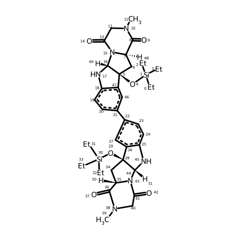 CC[Si](CC)(CC)O[C@]12C[C@@H]3C(=O)N(C)CC(=O)N3[C@H]1Nc1ccc(-c3ccc4c(c3)[C@@]3(O[Si](CC)(CC)CC)C[C@H]5C(=O)N(C)CC(=O)N5[C@H]3N4)cc12